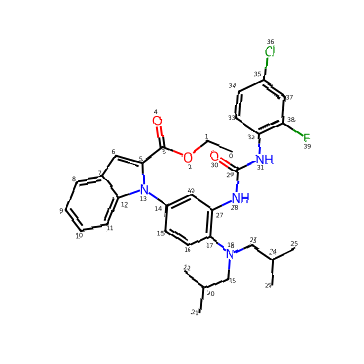 CCOC(=O)c1cc2ccccc2n1-c1ccc(N(CC(C)C)CC(C)C)c(NC(=O)Nc2ccc(Cl)cc2F)c1